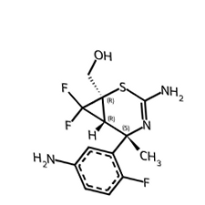 C[C@]1(c2cc(N)ccc2F)N=C(N)S[C@@]2(CO)[C@H]1C2(F)F